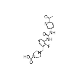 CC(=O)c1ccc(NC(=O)Nc2cccc(CN3CCN(C(=O)O)CC3)c2F)cn1